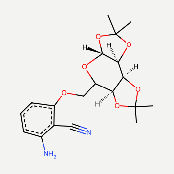 CC1(C)O[C@H]2OC(COc3cccc(N)c3C#N)[C@@H]3OC(C)(C)O[C@@H]3[C@@H]2O1